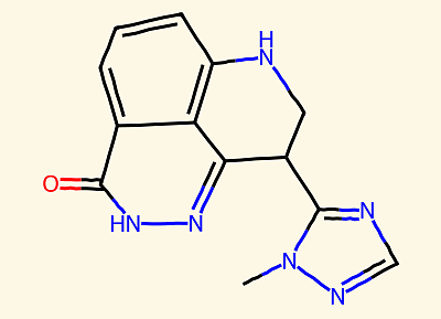 Cn1ncnc1C1CNc2cccc3c(=O)[nH]nc1c23